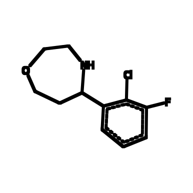 Fc1cccc(C2CCOCCN2)c1Cl